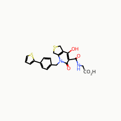 O=C(O)CNC(=O)c1c(O)c2c(n(Cc3ccc(-c4cccs4)cc3)c1=O)CSC2